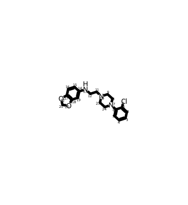 Clc1ccccc1N1CCN(CCNc2ccc3c(c2)OCO3)CC1